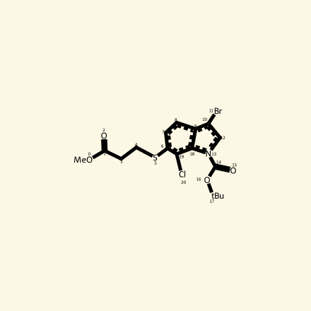 COC(=O)CCSc1ccc2c(Br)cn(C(=O)OC(C)(C)C)c2c1Cl